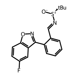 CC(C)(C)[S@+]([O-])N=Cc1ccccc1-c1noc2ccc(F)cc12